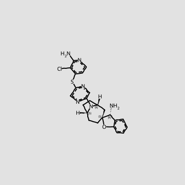 Nc1nccc(Sc2cnc(N3[C@H]4CC[C@@H]3C[C@]3(CC4)Oc4ccccc4[C@H]3N)cn2)c1Cl